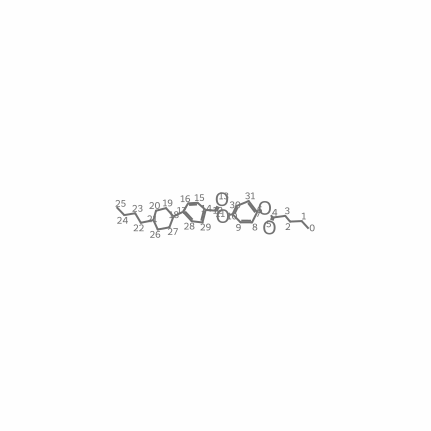 CCCCC(=O)Oc1ccc(OC(=O)c2ccc(C3CCC(CCCC)CC3)cc2)cc1